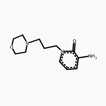 Nc1cccn(CCCN2CCOCC2)c1=O